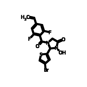 C=Cc1cc(F)c(C(=O)N2CC(=O)N(O)C2c2cc(Br)cs2)c(F)c1